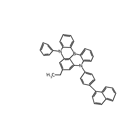 CCc1cc2c3c(c1)N(c1ccc(-c4cccc5ccccc45)cc1)c1ccccc1B3c1ccccc1N2c1ccccc1